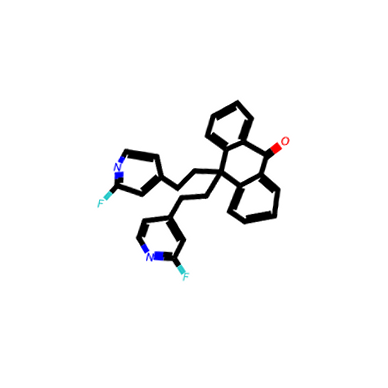 O=C1c2ccccc2C(CCc2ccnc(F)c2)(CCc2ccnc(F)c2)c2ccccc21